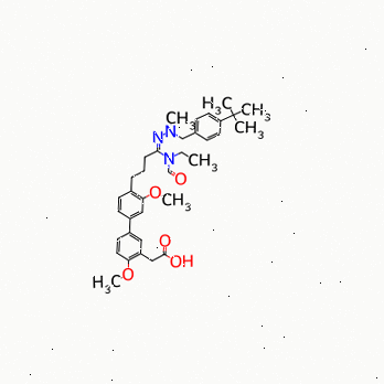 CCN(C=O)/C(CCCc1ccc(-c2ccc(OC)c(CC(=O)O)c2)cc1OC)=N\N(C)Cc1ccc(C(C)(C)C)cc1